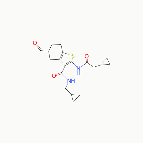 O=CC1CCc2sc(NC(=O)CC3CC3)c(C(=O)NCC3CC3)c2C1